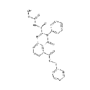 CC[C@H](NC(=O)OC(C)(C)C)c1nc2cccc(C(=O)OCc3ccccc3)c2c(=O)n1-c1ccccc1